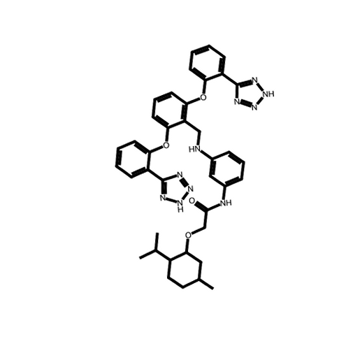 CC1CCC(C(C)C)C(OCC(=O)Nc2cccc(NCc3c(Oc4ccccc4-c4nn[nH]n4)cccc3Oc3ccccc3-c3nn[nH]n3)c2)C1